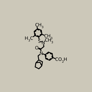 Cc1cc(C)c(SN(C)CC(=O)N(CC2CC3CCC2C3)c2ccc(C(=O)O)cc2)c(C)c1